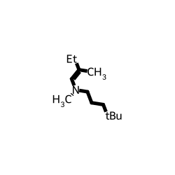 CC/C(C)=C/N(C)CCCC(C)(C)C